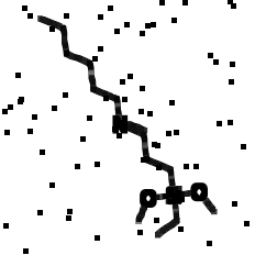 CCCCCCN=CCC[Si](CC)(OC)OC